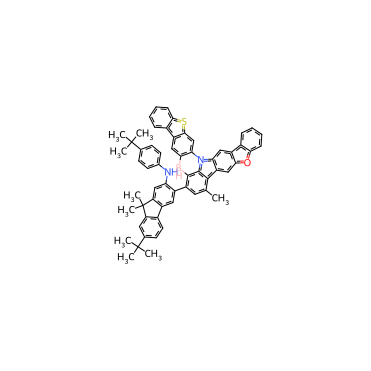 Cc1cc(-c2cc3c(cc2Nc2ccc(C(C)(C)C)cc2)C(C)(C)c2cc(C(C)(C)C)ccc2-3)c2c3c1c1cc4oc5ccccc5c4cc1n3-c1cc3sc4ccccc4c3cc1B2